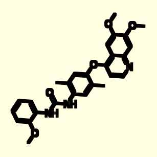 COc1ccccc1NC(=O)Nc1cc(C)c(Oc2ccnc3cc(OC)c(OC)cc23)cc1C